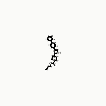 CCCCOC(=O)N1CCC(c2nc(-c3ccc(-c4ccccc4)cc3)c[nH]2)CC1